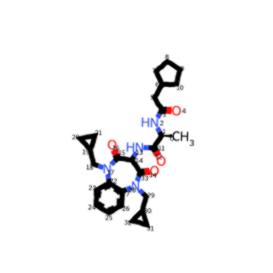 C[C@H](NC(=O)CC1CCCC1)C(=O)NC1C(=O)N(CC2CC2)c2ccccc2N(CC2CC2)C1=O